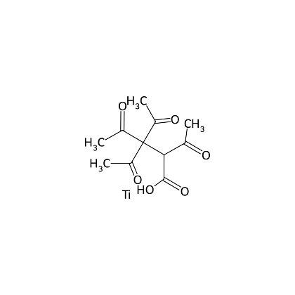 CC(=O)C(C(=O)O)C(C(C)=O)(C(C)=O)C(C)=O.[Ti]